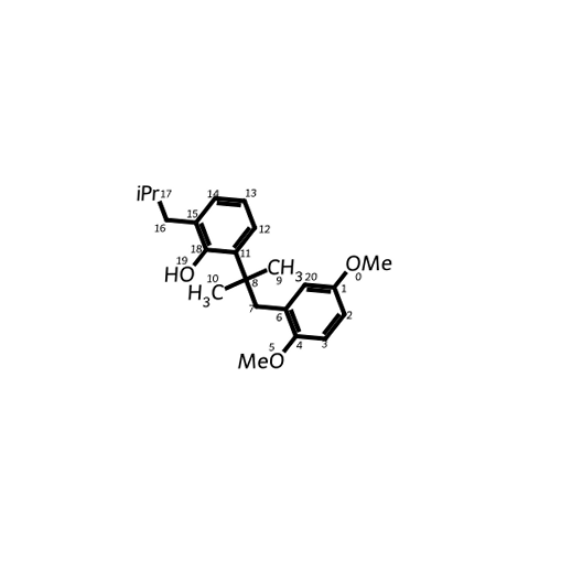 COc1ccc(OC)c(CC(C)(C)c2cccc(CC(C)C)c2O)c1